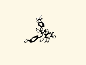 COCC[N+]1(Cc2ccc(Cl)cc2)C(Oc2cccc(OC(F)(F)F)c2)=Nc2c1c(=O)[nH]c(=O)n2C